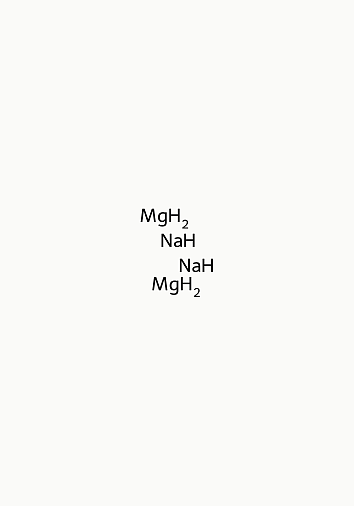 [MgH2].[MgH2].[NaH].[NaH]